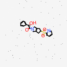 O=C([C@H](O)c1ccccc1)N1CC2=C(CC(S(=O)(=O)c3ccccn3)C2)C1